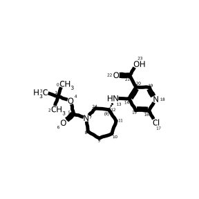 CC(C)(C)OC(=O)N1CCCC[C@@H](Nc2cc(Cl)ncc2C(=O)O)C1